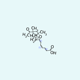 CC(=O)C(C)(C)CC(C)(C)O/C(P)=C/C=C\C=C\C(=O)O